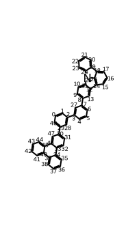 c1cc(-c2cccc(-c3ccc4c(c3)c3cccc5c6ccccc6n4c53)c2)cc(-c2ccc3c4ccccc4c4ccccc4c3c2)c1